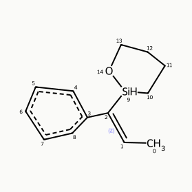 C/C=C(/c1ccccc1)[SiH]1CCCCO1